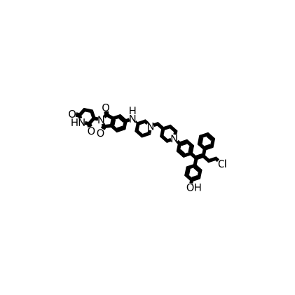 O=C1CCC(N2C(=O)c3ccc(N[C@@H]4CCCN(CC5CCN(c6ccc(C(=C(CCCl)c7ccccc7)c7ccc(O)cc7)cc6)CC5)C4)cc3C2=O)C(=O)N1